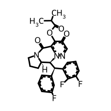 CC(C)C(=O)Oc1c2n(ncc1=O)[C@@H]([C@H](c1cccc(F)c1)c1cccc(F)c1F)[C@H]1CCCN1C2=O